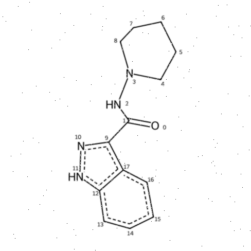 O=C(NN1CCCCC1)c1n[nH]c2ccccc12